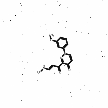 CNC=CC(=O)c1nn(-c2cccc(OC)c2)ccc1=O